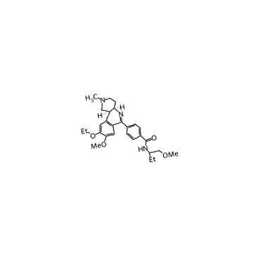 CCOc1cc2c(cc1OC)C(c1ccc(C(=O)NC(CC)COC)cc1)=N[C@@H]1CCN(C)C[C@H]21